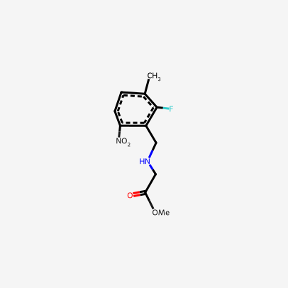 COC(=O)CNCc1c([N+](=O)[O-])ccc(C)c1F